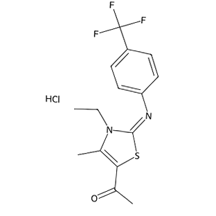 CCn1c(C)c(C(C)=O)sc1=Nc1ccc(C(F)(F)F)cc1.Cl